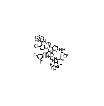 Cn1nc(NS(C)(=O)=O)c2c(Cl)ccc(-n3c([C@H](Cc4cc(F)cc(F)c4)NC(=O)Cn4nc(C(F)F)c5c4C(F)(F)[C@@H]4C[C@H]54)nc4nc(NCCC(F)(F)F)ccc4c3=O)c21